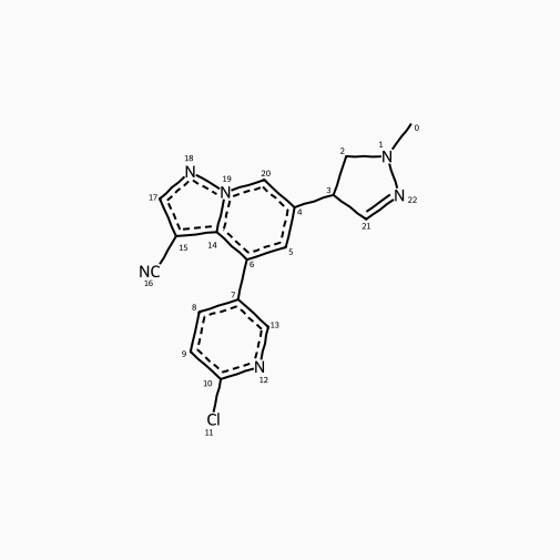 CN1CC(c2cc(-c3ccc(Cl)nc3)c3c(C#N)cnn3c2)C=N1